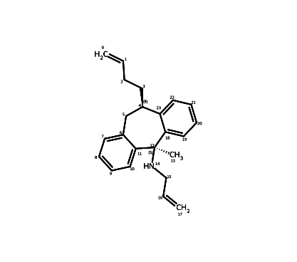 C=CCC[C@@H]1Cc2ccccc2[C@](C)(NCC=C)c2ccccc21